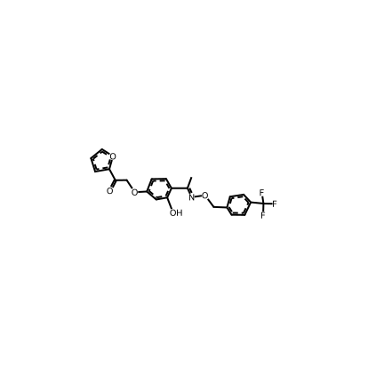 C/C(=N\OCc1ccc(C(F)(F)F)cc1)c1ccc(OCC(=O)c2ccco2)cc1O